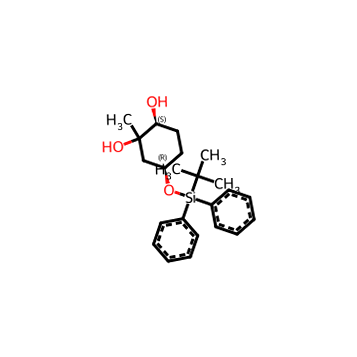 CC1(O)C[C@H](O[Si](c2ccccc2)(c2ccccc2)C(C)(C)C)CC[C@@H]1O